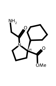 COC(=O)[C@]1(C2CCCCC2)CCCN1C(=O)CN